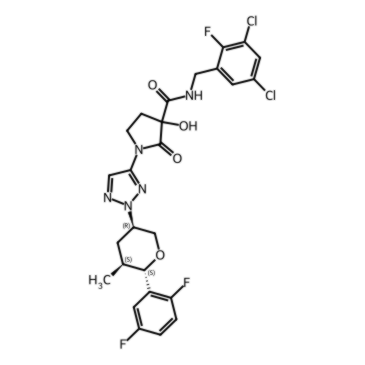 C[C@H]1C[C@@H](n2ncc(N3CCC(O)(C(=O)NCc4cc(Cl)cc(Cl)c4F)C3=O)n2)CO[C@@H]1c1cc(F)ccc1F